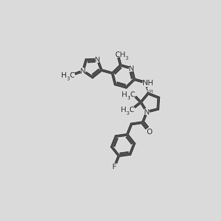 Cc1nc(N[C@@H]2CCN(C(=O)Cc3ccc(F)cc3)C2(C)C)ccc1-c1cn(C)cn1